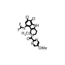 COc1cnc(C(=O)N2CCc3[nH]c4c(Cl)c(Cl)cc(SC(F)F)c4c3[C@H]2C)nc1